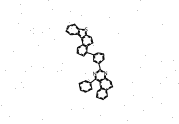 c1ccc(-c2nc(-c3cccc(-c4cccc5c4ccc4sc6ccccc6c45)c3)nc3ccc4ccccc4c23)cc1